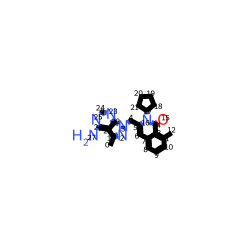 Cc1nn(Cc2cc3cccc(C)c3c(=O)n2C2CCCC2)c2ncnc(N)c12